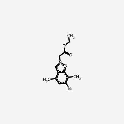 CCOC(=O)Cn1cc2c(C)cc(Br)c(C)c2n1